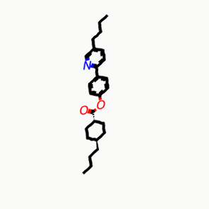 CCCCc1ccc(-c2ccc(OC(=O)[C@H]3CC[C@H](CCCC)CC3)cc2)nc1